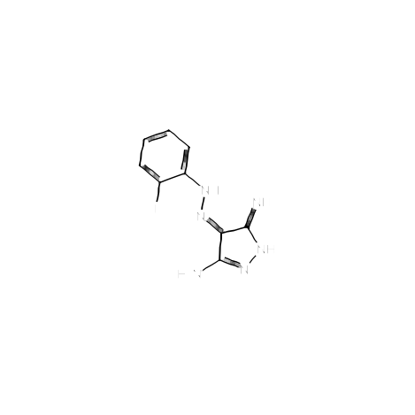 N=C1NN=C(N)/C1=N/Nc1ccccc1I